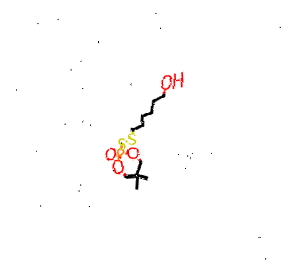 CC1(C)COP(=O)(SSCCCCCCO)OC1